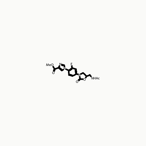 COC(=O)c1cn(-c2ccc(N3CC(CNC(C)=O)OC3=O)cc2F)cn1